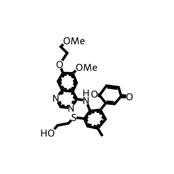 COCCOc1cc2ncnc(Nc3c(SCCO)cc(C)cc3C3=CC(=O)C=CC3=O)c2cc1OC